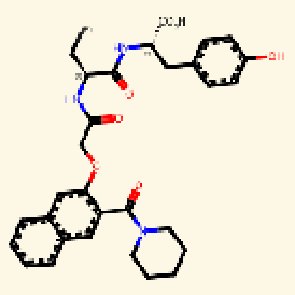 CC(C)C[C@H](NC(=O)COc1cc2ccccc2cc1C(=O)N1CCCCC1)C(=O)N[C@@H](Cc1ccc(O)cc1)C(=O)O